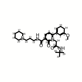 COC1=CC(c2ccc(C(=O)NCCCN3CCCCC3)c(=O)n2CC(=O)NC(C)(C)C)=CCC1